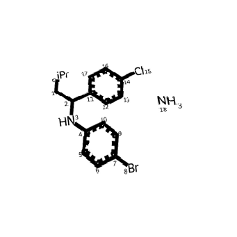 CC(C)CC(Nc1ccc(Br)cc1)c1ccc(Cl)cc1.N